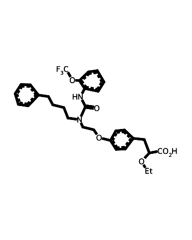 CCOC(Cc1ccc(OCCN(CCCCc2ccccc2)C(=O)Nc2ccccc2OC(F)(F)F)cc1)C(=O)O